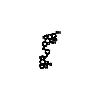 O=C1C=C(c2c(Cc3ccccc3)ncn2Cc2cccc(Oc3ccc(-c4ncn(Cc5cccc(O)c5)c4C4=CC(=O)NC4=O)cc3)c2)C(=O)N1